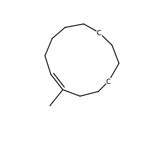 CC1=CCCCCCCCCCC1